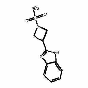 CCCCS(=O)(=O)N1CC(c2nc3ccccc3[nH]2)C1